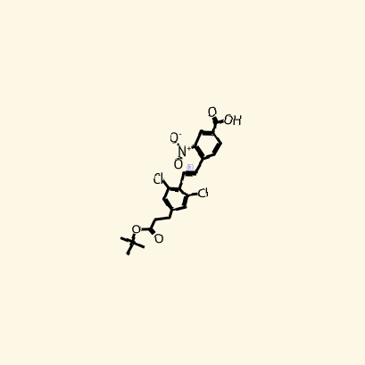 CC(C)(C)OC(=O)CCc1cc(Cl)c(/C=C/c2ccc(C(=O)O)cc2[N+](=O)[O-])c(Cl)c1